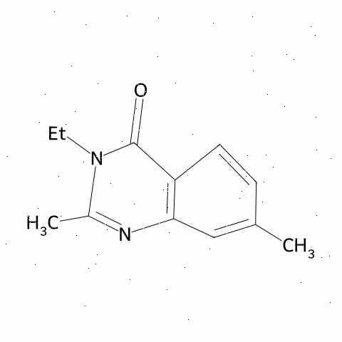 CCn1c(C)nc2cc(C)ccc2c1=O